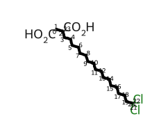 O=C(O)CC(CCCCCCCCCCCCCCCCCC(Cl)Cl)C(=O)O